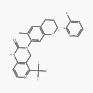 Cc1cc2c(cc1N1Cc3c(ccnc3C(F)(F)F)NC1=O)O[C@@H](c1ncccc1F)CC2